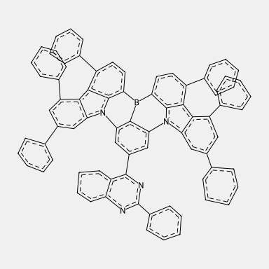 c1ccc(-c2cc(-c3ccccc3)c3c4c(-c5ccccc5)ccc5c4n(c3c2)-c2cc(-c3nc(-c4ccccc4)nc4ccccc34)cc3c2B5c2ccc(-c4ccccc4)c4c5c(-c6ccccc6)cc(-c6ccccc6)cc5n-3c24)cc1